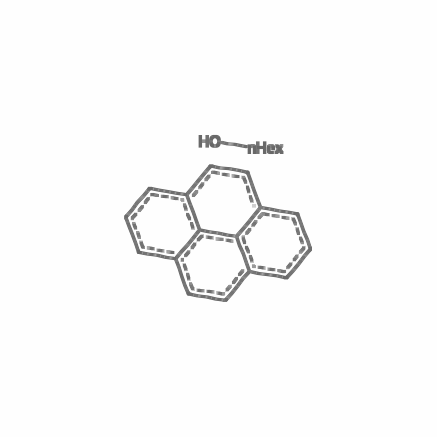 CCCCCCO.c1cc2ccc3cccc4ccc(c1)c2c34